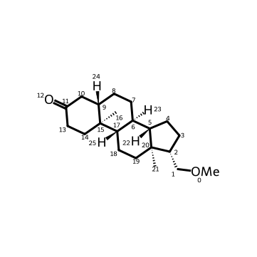 COC[C@H]1CC[C@H]2[C@@H]3CC[C@H]4CC(=O)CC[C@]4(C)[C@H]3CC[C@]12C